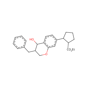 CCOC(=O)C1CCCC1c1ccc2c(c1)OCC(Cc1ccccc1)C2O